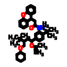 C[SiH](C)OC(CC(COC1CCCCC1)C(C)(C)C)c1ccc(C(C)(C)C)c(NC(=O)CC2c3ccccc3Oc3ccccc32)c1